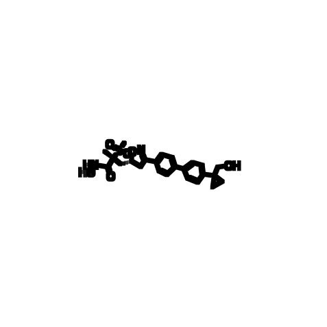 C[C@@](C[C@H]1CC(c2ccc(-c3ccc(C4(CO)CC4)cc3)cc2)=NO1)(C(=O)NO)S(C)(=O)=O